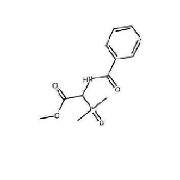 COC(=O)C(NC(=O)c1ccccc1)P(C)(C)=O